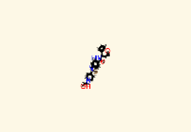 O=C(N[C@H]1CCOc2ccccc21)c1ccc2nc(C3CCN(CCO)CC3)sc2c1